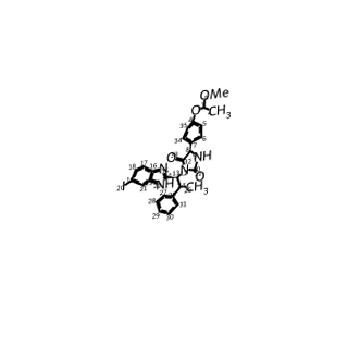 COC(C)Oc1ccc([C@H]2NC(=O)N([C@H](c3nc4ccc(I)cc4[nH]3)[C@@H](C)c3ccccc3)C2=O)cc1